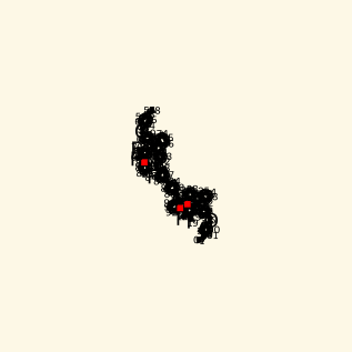 C=Cc1ccc(Oc2ccc(C3(c4cc(F)c(F)c(F)c4)c4ccccc4-c4ccc(N(c5ccc(-c6ccc(N(c7ccc8c(c7)C(c7ccc(Oc9ccc(C=C)cc9)cc7)(c7cc(F)c(F)c(F)c7)c7ccccc7-8)c7ccccc7F)cc6)cc5)c5ccccc5F)cc43)cc2)cc1